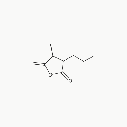 C=C1OC(=O)C(CCC)C1C